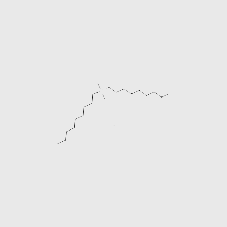 CCCCCCCCC[P+](C)(C)CCCCCCCCC.[Br-]